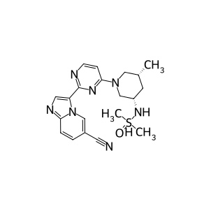 C[C@@H]1C[C@H](N[SH](C)(C)=O)CN(c2ccnc(-c3cnc4ccc(C#N)cn34)n2)C1